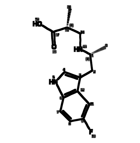 C[C@H](Cc1c[nH]c2ccc(F)cc12)NC[C@@H](C)C(=O)O